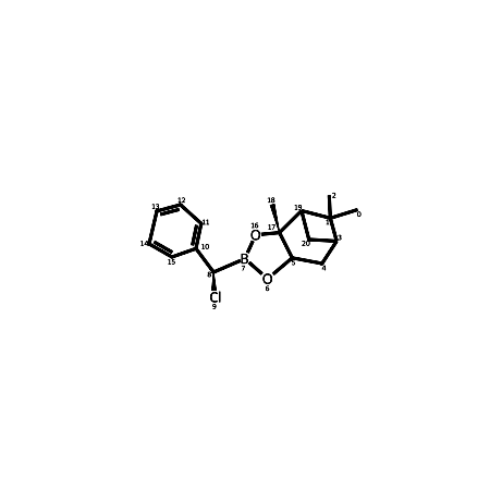 CC1(C)C2CC3OB([C@@H](Cl)c4ccccc4)O[C@]3(C)C1C2